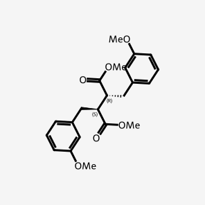 COC(=O)[C@@H](Cc1cccc(OC)c1)[C@@H](Cc1cccc(OC)c1)C(=O)OC